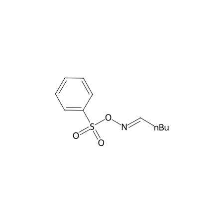 CCCCC=NOS(=O)(=O)c1ccccc1